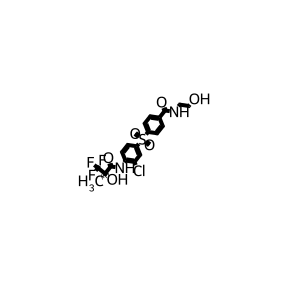 C[C@@](O)(C(=O)Nc1ccc(S(=O)(=O)c2ccc(C(=O)NCCO)cc2)cc1Cl)C(F)(F)F